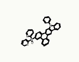 O=P(c1ccc2c(c1)c1ccccc1c1cc3c4ccccc4n(-c4ccccc4)c3cc21)(c1ccccn1)c1ccccn1